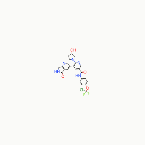 O=C(Nc1ccc(OC(F)(F)Cl)cc1)c1cnc(N2CC[C@H](O)C2)c(-c2cnc3c(c2)C(=O)NC3)c1